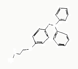 CNCCOc1ccc(CN(c2ccccc2)c2ccccc2)cc1